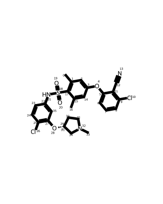 Cc1cc(Oc2cccc(Cl)c2C#N)cc(C)c1S(=O)(=O)Nc1ccc(Cl)c(O[C@@H]2CCN(C)C2)c1